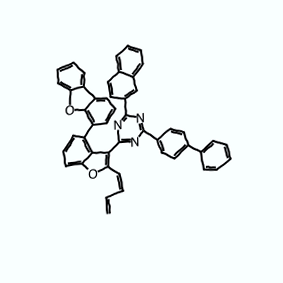 C=C/C=C\c1oc2cccc(-c3cccc4c3oc3ccccc34)c2c1-c1nc(-c2ccc(-c3ccccc3)cc2)nc(-c2ccc3ccccc3c2)n1